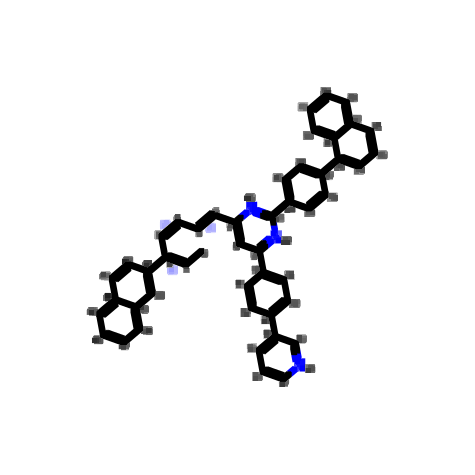 C\C=C(/C=C\C=C\c1cc(-c2ccc(-c3cccnc3)cc2)nc(-c2ccc(-c3cccc4ccccc34)cc2)n1)c1ccc2ccccc2c1